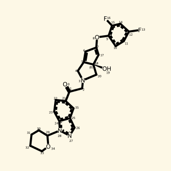 O=C(CN1CC2=CC(Oc3ccc(F)cc3F)=C[C@]2(O)C1)c1ccc2c(cnn2C2CCCCO2)c1